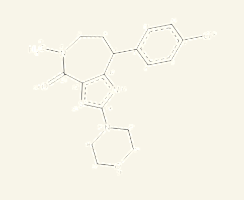 CN1CCC(c2ccc(Cl)cc2)c2nc(N3CCOCC3)sc2C1=O